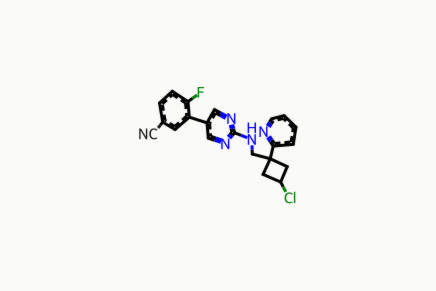 N#Cc1ccc(F)c(-c2cnc(NCC3(c4ccccn4)CC(Cl)C3)nc2)c1